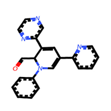 O=CC1C(c2cnccn2)=CC(c2ccccn2)=CN1c1ccccc1